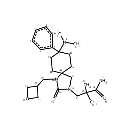 CN(C)C1(c2ccccc2)CCC2(CC1)CN(CC(C)(C)C(N)=O)C(=O)N2CC1COC1